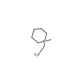 C[PH]1(CN)CCCCC1